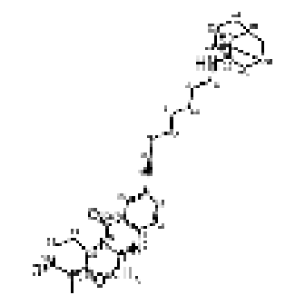 Cc1nc2ccc(C#CCCCCCCNC34CC5CC(CC(C5)C3)C4)cc2c(=O)n1C1CCC(=O)NC1=O